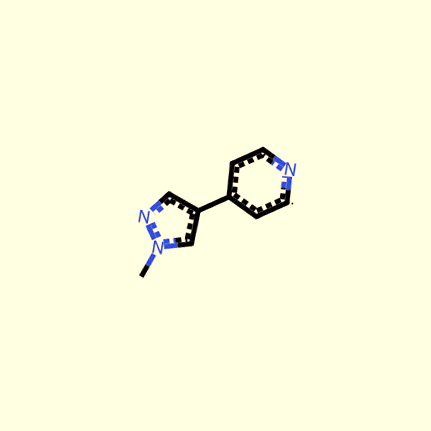 Cn1cc(-c2c[c]ncc2)cn1